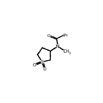 CC(C)C(=O)N(C)C1CCS(=O)(=O)C1